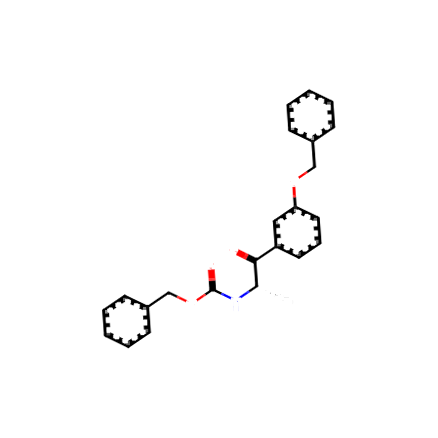 C[C@H](NC(=O)OCc1ccccc1)C(=O)c1cccc(OCc2ccccc2)c1